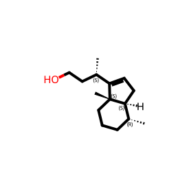 C[C@@H]1CCC[C@]2(C)C([C@@H](C)CCO)=CC[C@@H]12